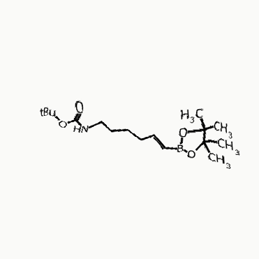 CC(C)(C)OC(=O)NCCCC/C=C/B1OC(C)(C)C(C)(C)O1